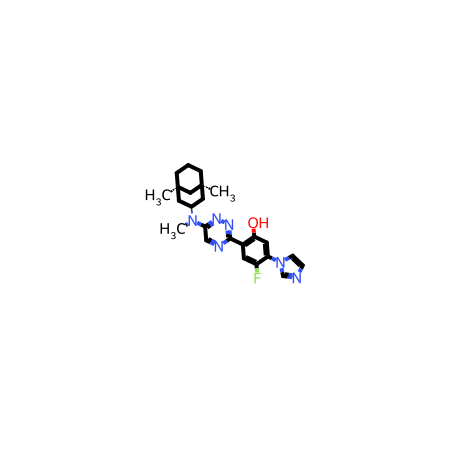 CN(c1cnc(-c2cc(F)c(-n3ccnc3)cc2O)nn1)[C@H]1C[C@]2(C)CCC[C@](C)(C1)C2